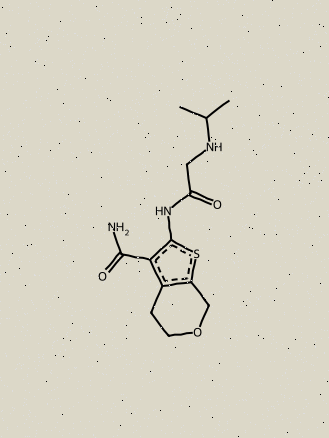 CC(C)NCC(=O)Nc1sc2c(c1C(N)=O)CCOC2